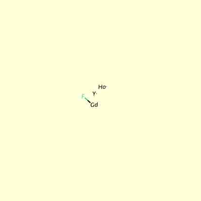 [F][Gd].[Ho].[Y]